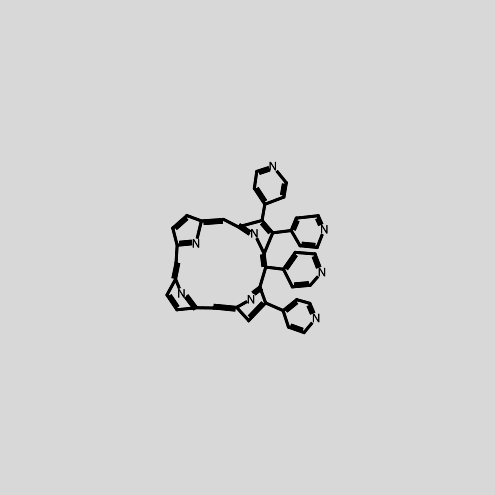 C1=CC2=NC1=CC1=NC(=C(c3ccncc3)C3=NC(=CC4=NC(=C2)C=C4)C=C3c2ccncc2)C(c2ccncc2)=C1c1ccncc1